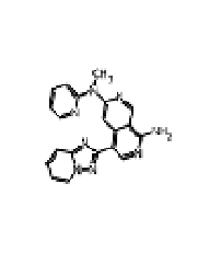 CN(c1ccccn1)c1cc2c(-c3nc4ccccn4n3)cnc(N)c2cn1